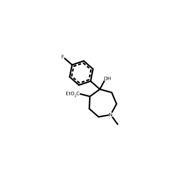 CCOC(=O)C1CCN(C)CCC1(O)c1ccc(F)cc1